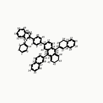 C1=CCCC(n2c(-c3ccc(-c4ccc5c(C6=Cc7ccccc7CC6)c6c(c(-c7ccc8ccccc8c7)c5c4)=CCCC=6)cc3)nc3ccccc32)=C1